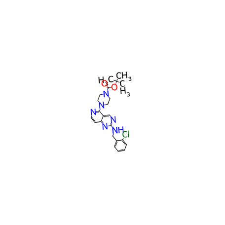 CC(C)(C)OC(=O)N1CCN(c2nccc3nc(NCc4ccccc4Cl)ncc23)CC1